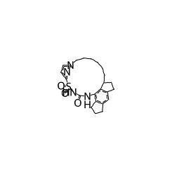 O=C1Nc2c3c(cc4c2C(CCCCCCn2ccc(n2)S(=O)(=O)N1)CC4)CCC3